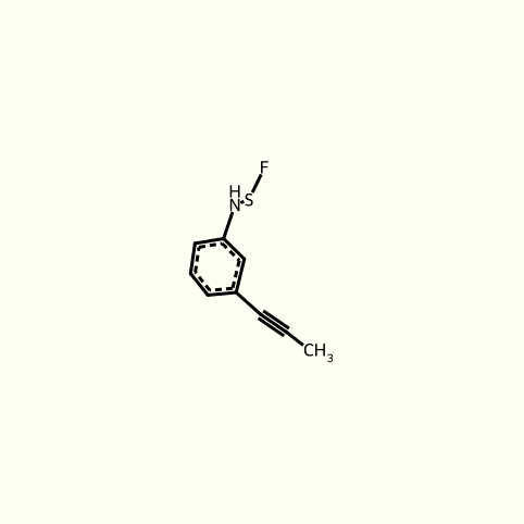 CC#Cc1cccc(NSF)c1